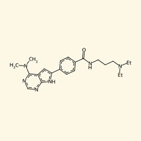 CCN(CC)CCCNC(=O)c1ccc(-c2cc3c(N(C)C)ncnc3[nH]2)cc1